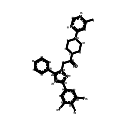 Cc1cc(N2CCN(C(=O)Cn3nc(-c4cc(F)c(F)c(F)c4)nc3-c3ccccc3)CC2)ncn1